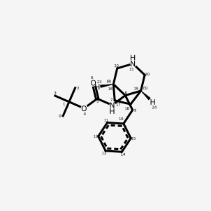 CC(C)(C)OC(=O)NC1(Cc2ccccc2)[C@@H]2CC[C@H]1CNC2